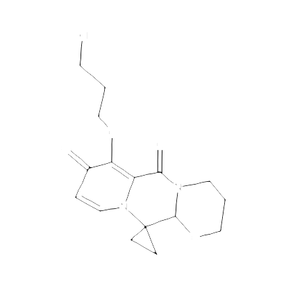 CCCCOc1c2n(ccc1=O)C1(CC1)C1OCCCN1C2=O